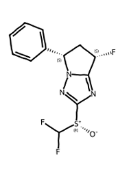 [O-][S@@+](c1nc2n(n1)[C@H](c1ccccc1)C[C@@H]2F)C(F)F